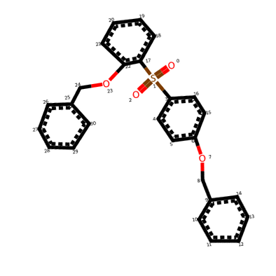 O=S(=O)(c1ccc(OCc2ccccc2)cc1)c1ccccc1OCc1ccccc1